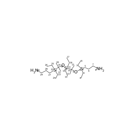 CC[Si](CC)(CCCN)OC(C)(C)[Si](CC)(CC)OC(C)(C)[Si](CC)(CC)CCCN